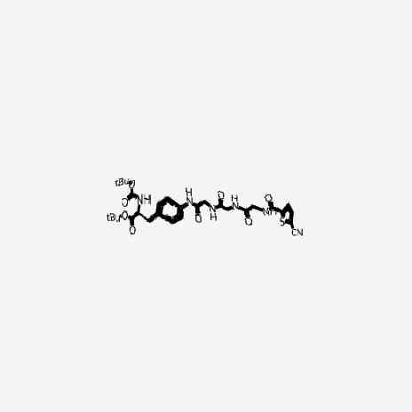 CC(C)(C)OC(=O)N[C@@H](Cc1ccc(NC(=O)CNC(=O)CNC(=O)CNC(=O)c2ccc(C#N)s2)cc1)C(=O)OC(C)(C)C